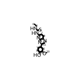 CCNC(=S)Nc1ccc2ncc(-c3ccc(O)c(OC)c3)nc2n1